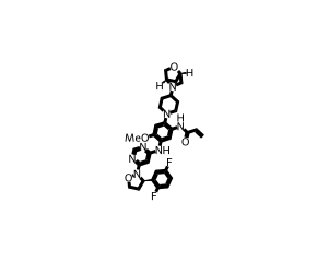 C=CC(=O)Nc1cc(Nc2cc(N3OCC[C@@H]3c3cc(F)ccc3F)ncn2)c(OC)cc1N1CCC(N2C[C@@H]3C[C@H]2CO3)CC1